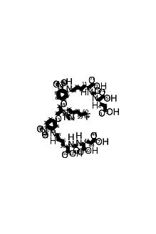 O=C(O)CC[C@H](NC(=O)N[C@@H](CCCCNc1cc(OCC(COc2ccc([N+](=O)[O-])c(NCCCC[C@@H](NC(=O)N[C@H](CCC(=O)O)C(=O)O)C(=O)O)c2)n2cc(CCCF)nn2)ccc1[N+](=O)[O-])C(=O)O)C(=O)O